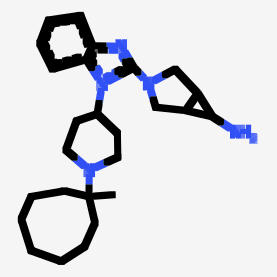 CC1(N2CCC(n3c(N4CC5C(N)C5C4)nc4ccccc43)CC2)CCCCCCC1